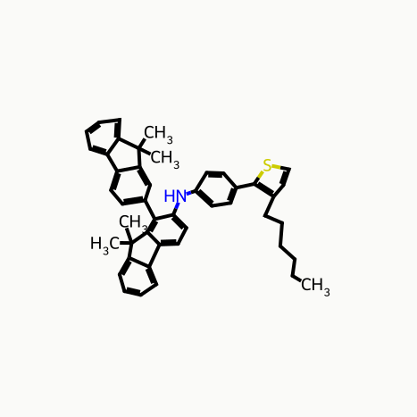 CCCCCCc1ccsc1-c1ccc(Nc2ccc3c(c2-c2ccc4c(c2)C(C)(C)c2ccccc2-4)C(C)(C)c2ccccc2-3)cc1